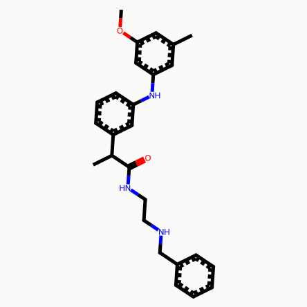 COc1cc(C)cc(Nc2cccc(C(C)C(=O)NCCNCc3ccccc3)c2)c1